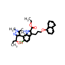 CCOC(=O)c1[nH]c2c(-c3c(C(O)CC)nn(C)c3C)c(Cl)ccc2c1CCCOc1cccc2ccccc12